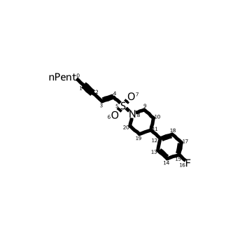 CCCCCC#C/C=C/S(=O)(=O)N1CCC(c2ccc(F)cc2)CC1